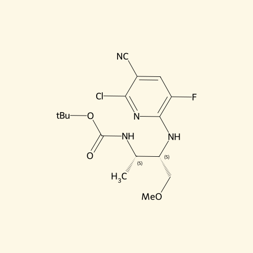 COC[C@@H](Nc1nc(Cl)c(C#N)cc1F)[C@H](C)NC(=O)OC(C)(C)C